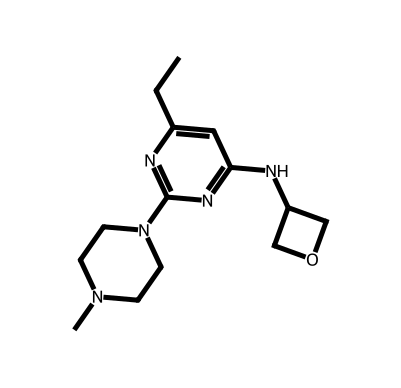 CCc1cc(NC2COC2)nc(N2CCN(C)CC2)n1